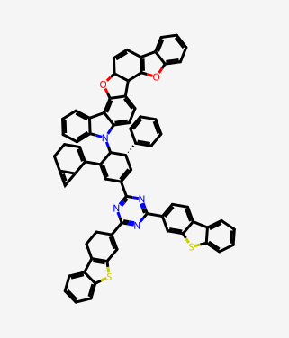 C1=CC2Oc3c(ccc4c3c3ccccc3n4C3C(C4=CCCC5=CC54)=CC(c4nc(C5=Cc6sc7ccccc7c6CC5)nc(-c5ccc6c(c5)sc5ccccc56)n4)=C[C@H]3c3ccccc3)C2c2oc3ccccc3c21